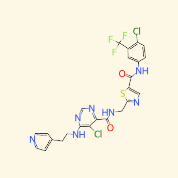 O=C(Nc1ccc(Cl)c(C(F)(F)F)c1)c1cnc(CNC(=O)c2ncnc(NCCc3ccncc3)c2Cl)s1